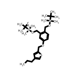 CCCc1csc(COc2ccc(CO[Si](C)(C)C(C)(C)C)c(CO[Si](C)(C)C(C)(C)C)c2)c1